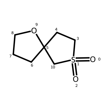 O=S1(=O)CCC2(CCCO2)C1